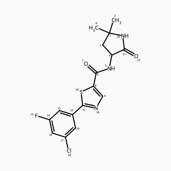 CC1(C)CC(NC(=O)c2cnc(-c3cc(F)cc(Cl)c3)s2)C(=O)N1